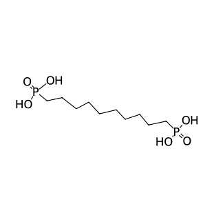 O=P(O)(O)CCCCCCCCCCP(=O)(O)O